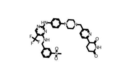 CS(=O)(=O)c1cccc(CNc2nc(Nc3ccc(N4CCN(Cc5ccc(C6CCC(=O)NC6=O)nc5)CC4)cc3)ncc2C(F)(F)F)c1